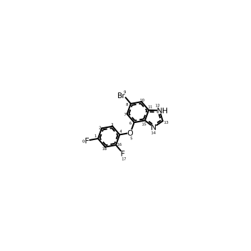 Fc1ccc(Oc2cc(Br)cc3[nH]cnc23)c(F)c1